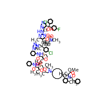 CC1=C(C(=O)Nc2ccccc2)S(=O)(=O)CCO1.CC1=C(C(=O)Nc2ccccc2)SCCO1.CC1CN(C2CCCCCCCCCCC2)CC(C)O1.CCCCC(C#N)(Cn1cncn1)c1ccc(Cl)cc1.CCCCc1c(C)nc(NCC)nc1OS(=O)(=O)N(C)C.COC(=O)C(C)N(C(=O)Cc1ccccc1)c1c(C)cccc1C.OC(c1ccc(F)cc1)(c1cncnc1)c1ccccc1Cl